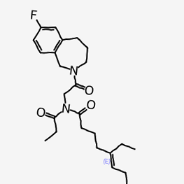 CC/C=C(\CC)CCCC(=O)N(CC(=O)N1CCCc2cc(F)ccc2C1)C(=O)CC